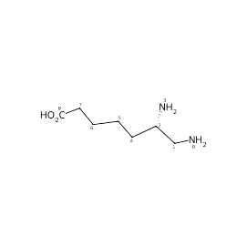 NC[C@@H](N)CCCCC(=O)O